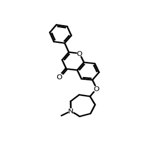 CN1CCCC(Oc2ccc3oc(-c4ccccc4)cc(=O)c3c2)CC1